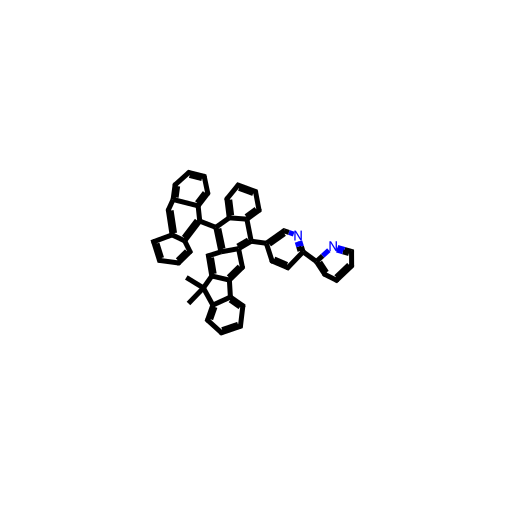 CC1(C)c2ccccc2-c2cc3c(-c4ccc(-c5ccccn5)nc4)c4ccccc4c(-c4c5ccccc5cc5ccccc45)c3cc21